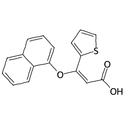 O=C(O)C=C(Oc1cccc2ccccc12)c1cccs1